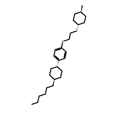 CCCCCC[C@H]1CC[C@H](c2ccc(OCCC[C@H]3CC[C@H](C)CC3)cc2)CC1